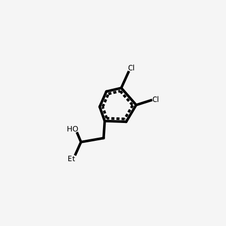 CCC(O)Cc1ccc(Cl)c(Cl)c1